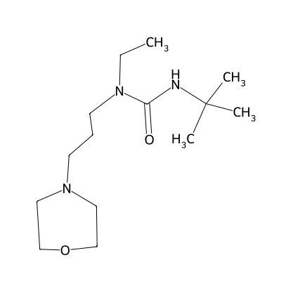 CCN(CCCN1CCOCC1)C(=O)NC(C)(C)C